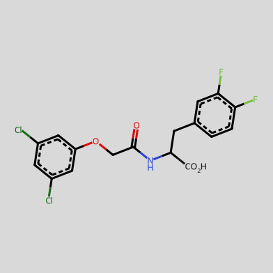 O=C(COc1cc(Cl)cc(Cl)c1)NC(Cc1ccc(F)c(F)c1)C(=O)O